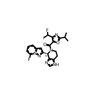 CC(C)c1nc(C(F)I)c(C(=O)N2CCc3[nH]cnc3[C@H]2c2cc3cccc(F)n3n2)o1